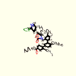 COC(=O)c1ccc(-c2ccc(OC)c(-c3ccc(C)cc3CN3C(=O)O[C@H](c4ccnc(Cl)c4)[C@@H]3C)c2)c(C)c1